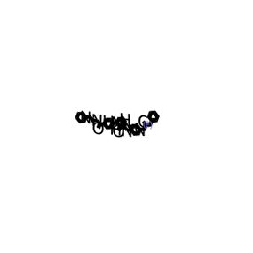 C/C(=C\c1ccccc1)CN1CCC(Nc2nccn(-c3ccc(C(=O)NCCN4CCCCC4)cc3)c2=O)CC1